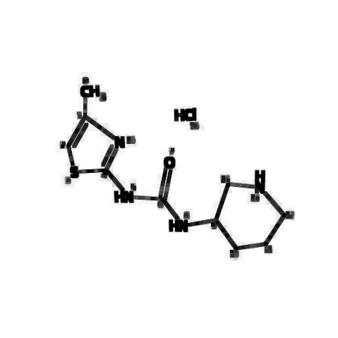 Cc1csc(NC(=O)NC2CCCNC2)n1.Cl